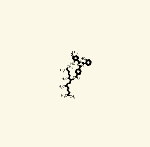 COc1ccc(-c2nc(-c3ccc(C(=O)OCC(CCC(C)CCCC(C)C)C(C)CCCC(C)C)cc3)nc(-c3ccccc3O)n2)c(O)c1